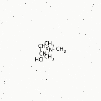 CC#N.CN(C)C.Cl